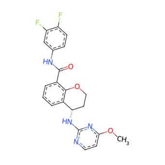 COc1ccnc(N[C@H]2CCOc3c(C(=O)Nc4ccc(F)c(F)c4)cccc32)n1